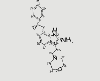 Nc1[nH]c2c(CC(=O)c3ccc(Cl)cc3)cccc2[n+]1CCN1CCOCC1